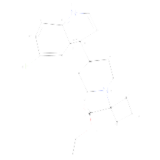 CCOC(=O)C1(N2CCC(c3ccnc4ccc(F)cc34)CC2)CCC1